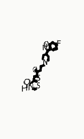 O=C(CCCN1CCC(c2noc3cc(F)ccc23)CC1)c1cc2c(s1)SCCNC2=O